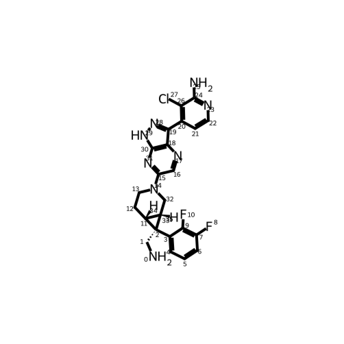 NC[C@]1(c2cccc(F)c2F)[C@@H]2CCN(c3cnc4c(-c5ccnc(N)c5Cl)n[nH]c4n3)C[C@@H]21